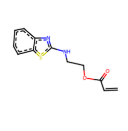 C=CC(=O)OCCNc1nc2ccccc2s1